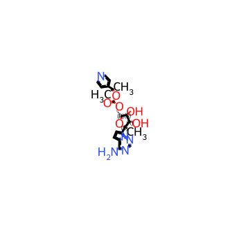 CC(C)(OC(=O)OC[C@H]1O[C@@](C)(c2ccc3c(N)ncnn23)[C@H](O)[C@@H]1O)c1ccncc1